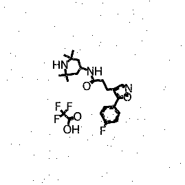 CC1(C)CC(NC(=O)CCc2cnoc2-c2ccc(F)cc2)CC(C)(C)N1.O=C(O)C(F)(F)F